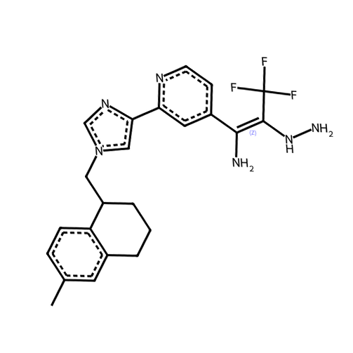 Cc1ccc2c(c1)CCCC2Cn1cnc(-c2cc(/C(N)=C(/NN)C(F)(F)F)ccn2)c1